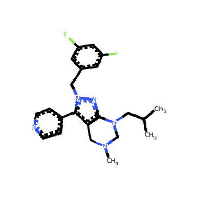 CC(C)CN1CN(C)Cc2c1nn(Cc1cc(F)cc(F)c1)c2-c1ccncc1